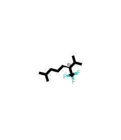 CC(C)CCC[C@@H](C(C)C)C(F)(F)F